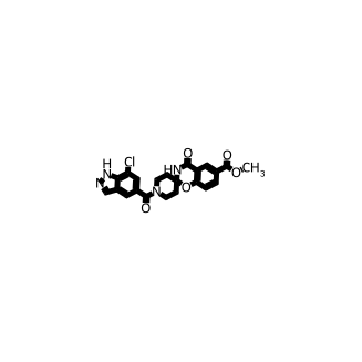 COC(=O)c1ccc2c(c1)C(=O)NC1(CCN(C(=O)c3cc(Cl)c4[nH]ncc4c3)CC1)O2